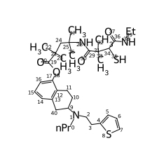 CCCN(CCc1cccs1)C1CCc2c(cccc2OC(=O)C(C)(C)CC(C)(C)NC(=O)C(C)(C)C(S)C(=O)NCC)C1